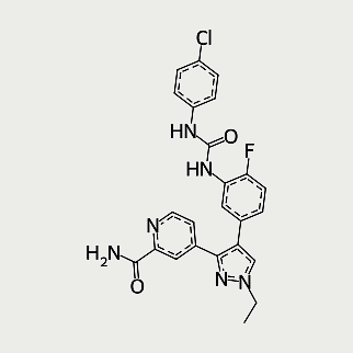 CCn1cc(-c2ccc(F)c(NC(=O)Nc3ccc(Cl)cc3)c2)c(-c2ccnc(C(N)=O)c2)n1